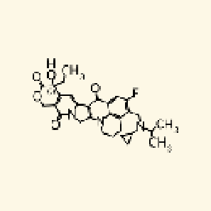 CC[C@@]1(O)C(=O)OCc2c1cc1n(c2=O)Cc2c-1c(=O)c1cc(F)c(CN(C(C)C)C3CC3)c3c1n2CCC3